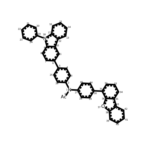 CC(=O)N(c1ccc(-c2ccc3c(c2)c2ccccc2n3-c2ccccc2)cc1)c1ccc(-c2cccc3c2oc2ccccc23)cc1